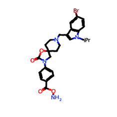 CC(C)n1cc(CN2CCC3(CC2)CN(c2ccc(C(=O)ON)cc2)C(=O)O3)c2cc(Br)ccc21